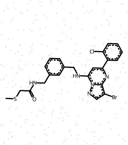 CSCC(=O)NCc1cccc(CNc2cc(-c3ccccc3Cl)nc3c(Br)cnn23)c1